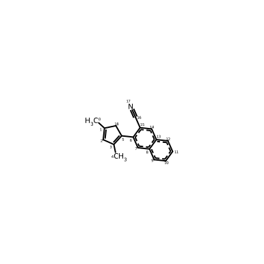 CC1=CC(C)=C(c2cc3ccccc3cc2C#N)C1